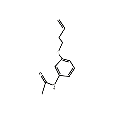 C=CCCOc1cccc(NC(C)=O)c1